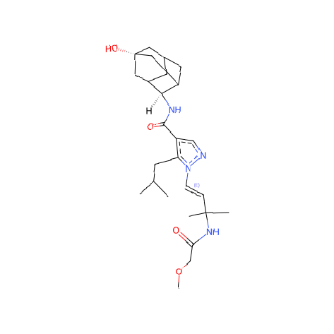 COCC(=O)NC(C)(C)/C=C/n1ncc(C(=O)N[C@H]2C3CC4CC2C[C@](O)(C4)C3)c1CC(C)C